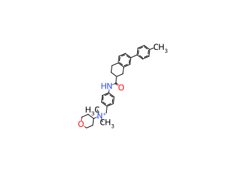 Cc1ccc(-c2ccc3c(c2)CC(C(=O)Nc2ccc(C[N+](C)(C)C4CCOCC4)cc2)CC3)cc1